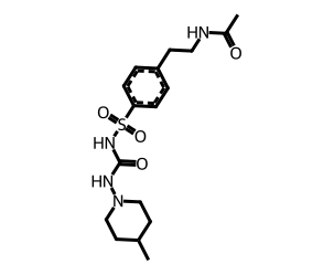 CC(=O)NCCc1ccc(S(=O)(=O)NC(=O)NN2CCC(C)CC2)cc1